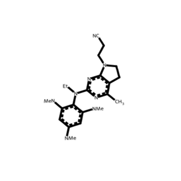 CCN(c1nc(C)c2c(n1)N(CCC#N)CC2)c1c(NC)cc(NC)cc1NC